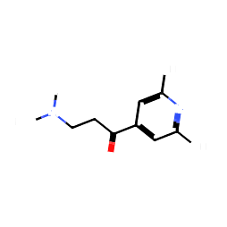 Cc1cc(C(=O)CCN(C)C)cc(C)n1